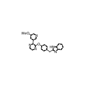 COc1cncc(-c2nccnc2Oc2ccc([C]c3nc4ccccc4[nH]3)cc2)c1